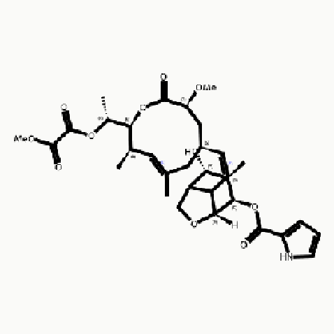 COC(=O)C(=O)O[C@H](C)[C@H]1OC(=O)[C@@H](OC)C[C@@H](/C=C\C2C3CO[C@H]2[C@H](OC(=O)c2ccc[nH]2)[C@H](C)[C@H]3O)C/C(C)=C/[C@H]1C